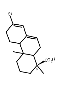 CCC1=CC2=CCC3C(C)(CCC[C@]3(C)C(=O)O)C2CC1